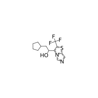 OC(CC1CCCC1)c1c(C(F)(F)F)sc2cncn12